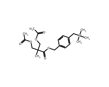 CC(=O)OCC(C)(COC(C)=O)C(=O)OCc1ccc(C[N+](C)(C)C)cc1